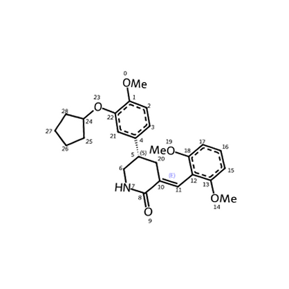 COc1ccc([C@H]2CNC(=O)/C(=C/c3c(OC)cccc3OC)C2)cc1OC1CCCC1